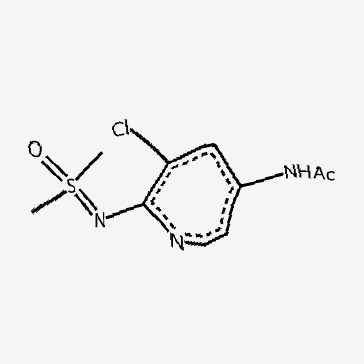 CC(=O)Nc1cnc(N=S(C)(C)=O)c(Cl)c1